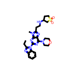 CCc1nc2ccccc2n1-c1nc(N2CCOCC2)c2nc(CCNC3CCS(=O)(=O)C3)n(C)c2n1